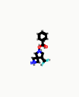 O=C(ON1CC(C(F)F)C2(CNC2)C1)c1ccccc1